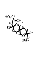 CCC1(ON(C)C(=O)O)OCC2(CO1)COC(CC)(OC(C)(C)C)OC2